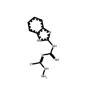 N=C(/N=C(/Cl)NN)Nc1nc2ccccc2[nH]1